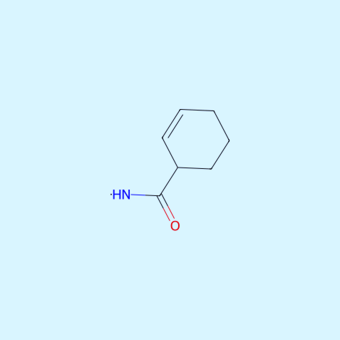 [NH]C(=O)C1C=CCCC1